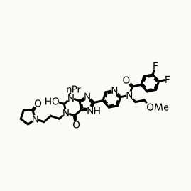 CCCN1c2nc(-c3ccc(N(CCOC)C(=O)c4ccc(F)c(F)c4)nc3)[nH]c2C(=O)N(CCCN2CCCC2=O)C1O